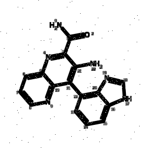 NC(=O)c1nc2cccnc2c(-c2cccc3[nH]cnc23)c1N